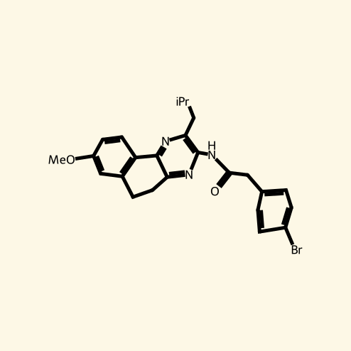 COc1ccc2c(c1)CCc1nc(NC(=O)Cc3ccc(Br)cc3)c(CC(C)C)nc1-2